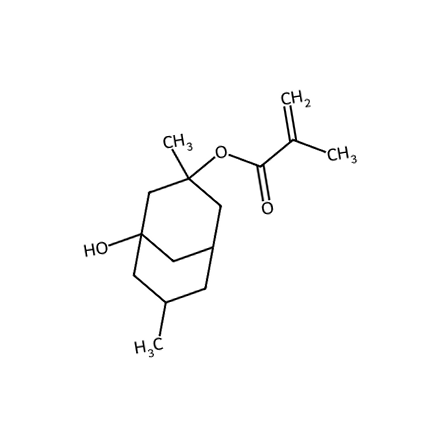 C=C(C)C(=O)OC1(C)CC2CC(C)CC(O)(C2)C1